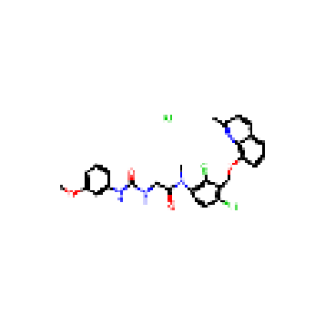 COc1cccc(NC(=O)NCC(=O)N(C)c2ccc(Cl)c(COc3cccc4ccc(C)nc34)c2Cl)c1.Cl